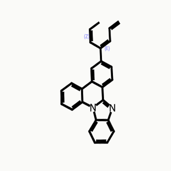 C=C/C=C(\C=C/C)c1ccc2c(c1)c1ccccc1n1c3ccccc3nc21